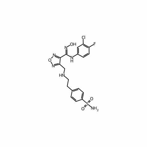 NS(=O)(=O)c1ccc(CCNCc2nonc2/C(=N/O)Nc2ccc(F)c(Cl)c2)cc1